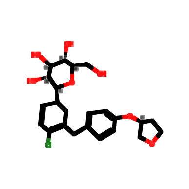 OC[C@H]1O[C@@H](C2C=CC(Cl)=C(Cc3ccc(O[C@H]4CCOC4)cc3)C2)[C@H](O)[C@@H](O)[C@@H]1O